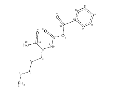 NCCCCC(NC(=O)OC(=O)c1ccccc1)C(=O)O